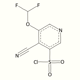 N#Cc1c(OC(F)F)cncc1S(=O)(=O)Cl